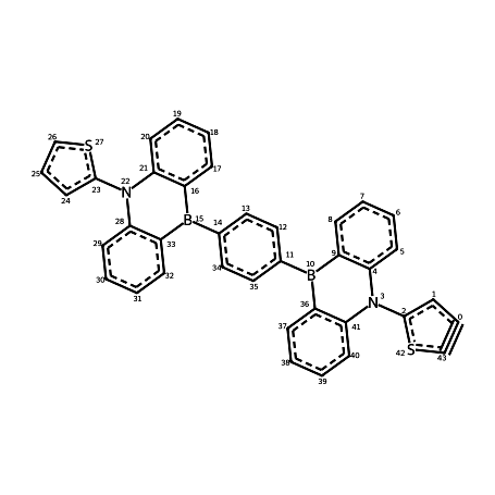 c1cc(N2c3ccccc3B(c3ccc(B4c5ccccc5N(c5cccs5)c5ccccc54)cc3)c3ccccc32)sc#1